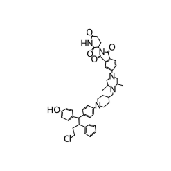 CC1CN(c2ccc3c(c2)C(=O)N(C2CCC(=O)NC2=O)C3=O)CC(C)N1CC1CCN(c2ccc(C(=C(CCCl)c3ccccc3)c3ccc(O)cc3)cc2)CC1